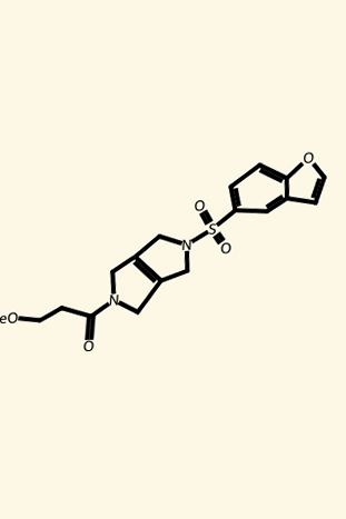 COCCC(=O)N1CC2=C(C1)CN(S(=O)(=O)c1ccc3occc3c1)C2